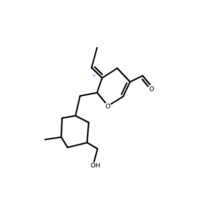 C/C=C1\CC(C=O)=COC1CC1CC(C)CC(CO)C1